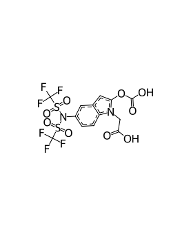 O=C(O)Cn1c(OC(=O)O)cc2cc(N(S(=O)(=O)C(F)(F)F)S(=O)(=O)C(F)(F)F)ccc21